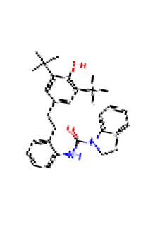 CC(C)(C)c1cc(CCc2ccccc2NC(=O)N2CCc3ccccc32)cc(C(C)(C)C)c1O